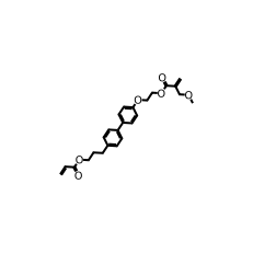 C=CC(=O)OCCCc1ccc(-c2ccc(OCCOC(=O)C(=C)COC)cc2)cc1